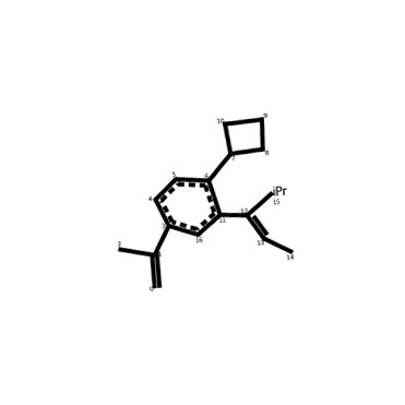 C=C(C)c1ccc(C2CCC2)c(/C(=C/C)C(C)C)c1